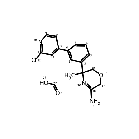 CC1(c2cccc(-c3ccnc(Cl)c3)c2)COCC(N)=N1.O=CO